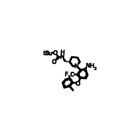 Cc1ccccc1Oc1ccc(N)c(N2CCC[C@@H](CNC(=O)OC(C)(C)C)C2)c1C(F)(F)F